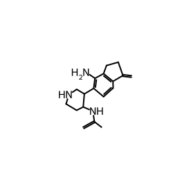 C=C(C)NC1CCNCC1c1ccc2c(c1N)CCC2=C